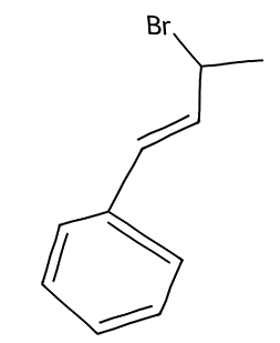 CC(Br)C=Cc1ccccc1